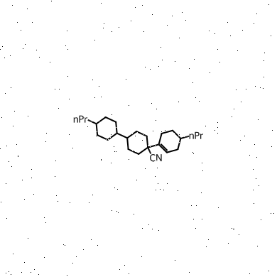 CCCC1CC=C(C2(C#N)CCC(C3CCC(CCC)CC3)CC2)CC1